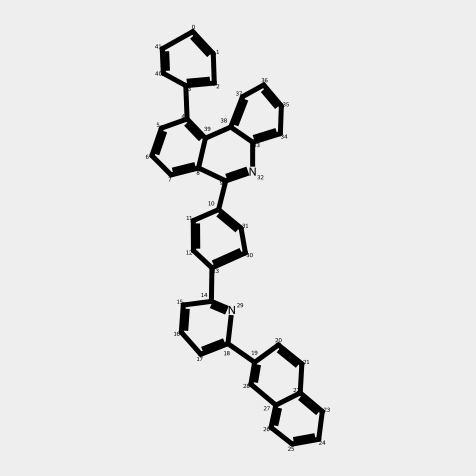 c1ccc(-c2cccc3c(-c4ccc(-c5cccc(-c6ccc7ccccc7c6)n5)cc4)nc4ccccc4c23)cc1